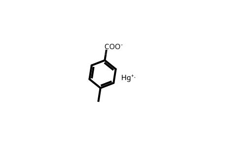 Cc1ccc(C(=O)[O-])cc1.[Hg+]